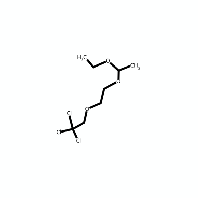 [CH2]C(OCC)OCCOCC(Cl)(Cl)Cl